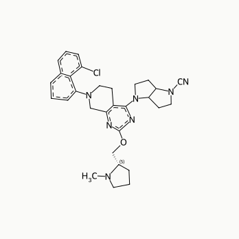 CN1CCC[C@H]1COc1nc2c(c(N3CCC4C3CCN4C#N)n1)CCN(c1cccc3cccc(Cl)c13)C2